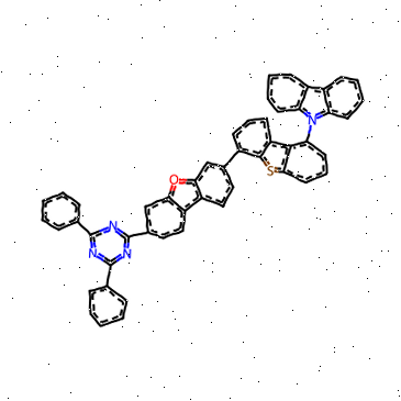 c1ccc(-c2nc(-c3ccccc3)nc(-c3ccc4c(c3)oc3cc(-c5cccc6c5sc5cccc(-n7c8ccccc8c8ccccc87)c56)ccc34)n2)cc1